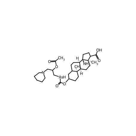 CC(=O)OC(C[AsH]C(=O)OC1CC[C@@]2(C)C(CC[C@@H]3[C@H]2CC[C@]2(C)C(C(=O)O)CC[C@@]32N)C1)CN1CCCCC1